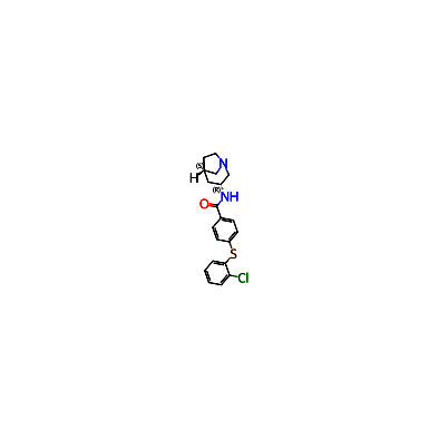 O=C(N[C@@H]1C[C@@H]2CCN(C2)C1)c1ccc(Sc2ccccc2Cl)cc1